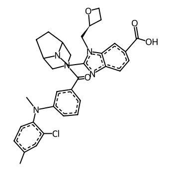 Cc1ccc(N(C)c2cccc(C(=O)N3CC4CCC(C3)N4Cc3nc4ccc(C(=O)O)cc4n3C[C@@H]3CCO3)c2)c(Cl)c1